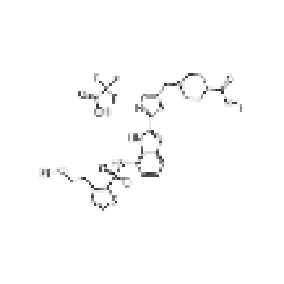 CCOCCc1ccsc1S(=O)(=O)Nc1cccc2cc(-c3ncc(CN4CCC(C(N)=O)CC4)s3)[nH]c12.O=C(O)C(F)(F)F